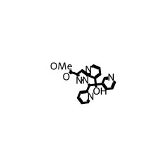 COC(=O)c1ccn(C(c2ccccn2)C(O)(c2cccnc2)c2cccnc2)n1